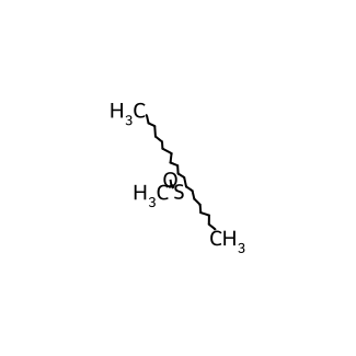 CCCCCCCCCCC(CCCCCCCCCC)OC(C)=S